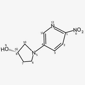 O=[N+]([O-])c1ccc(N2CC[C@H](O)C2)cn1